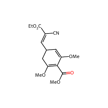 CCOC(=O)C(C#N)=CC1C=C(OC)C(C(=O)OC)=C(OC)C1